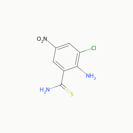 NC(=S)c1cc([N+](=O)[O-])cc(Cl)c1N